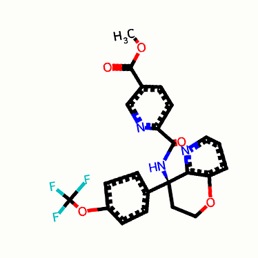 COC(=O)c1ccc(C(=O)N[C@]2(c3ccc(OC(F)(F)F)cc3)CCOc3cccnc32)nc1